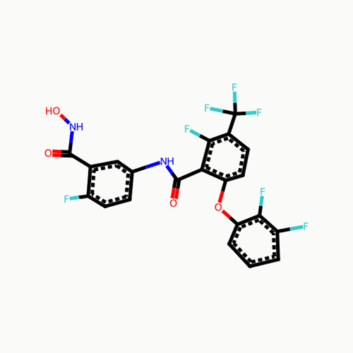 O=C(NO)c1cc(NC(=O)c2c(Oc3cccc(F)c3F)ccc(C(F)(F)F)c2F)ccc1F